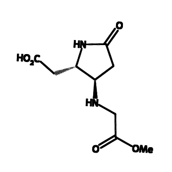 COC(=O)CN[C@@H]1CC(=O)N[C@H]1CC(=O)O